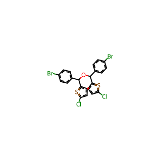 Clc1ccc(C(OC(c2ccc(Br)cc2)c2ccc(Cl)s2)c2ccc(Br)cc2)s1